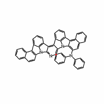 c1ccc(N(c2ccccc2)c2cc3ccccc3c3c4cccc5c6c7c8cccc9c%10c%11ccccc%11ccc%10n(c7ncc6n(c23)c54)c98)cc1